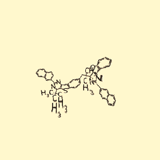 CC(C)(C)c1nc(-c2ccc3ccccc3c2)nc2c1sc1ccc(CC(C)(C)c3nc(-c4ccc5ccccc5c4)nc4c3oc3ccccc34)cc12